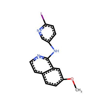 COc1ccc2ccnc(Nc3ccc(I)nc3)c2c1